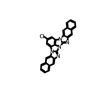 Clc1cc2c3c(c1)n1c4cc5ccccc5cc4nc1n3c1nc3cc4ccccc4cc3n21